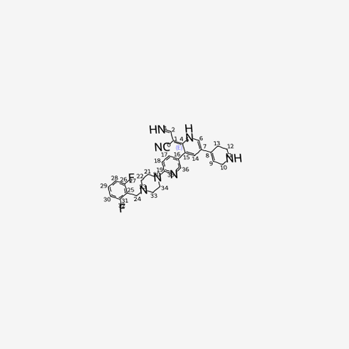 N#C/C(C=N)=C1/NC=C(C2=CCNCC2)C=C1c1ccc(N2CCN(Cc3c(F)cccc3F)CC2)nc1